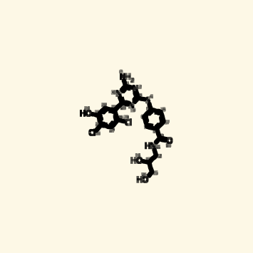 Nc1nc(Sc2ccc(C(=O)NCC(O)CO)cc2)nc(-c2cc(O)c(Cl)cc2Cl)n1